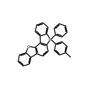 Cc1ccc([Si]2(c3ccccc3)c3ccccc3-c3c2ccc2c3oc3ccccc32)cc1